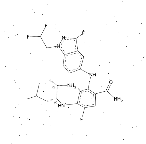 CC(C)C[C@@H](Nc1nc(Nc2ccc3c(c2)c(F)nn3CC(F)F)c(C(N)=O)cc1F)[C@H](C)N